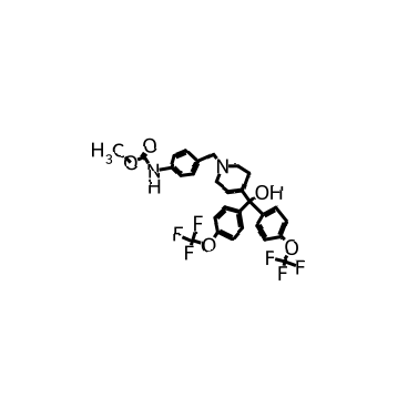 COC(=O)Nc1ccc(CN2CCC(C(O)(c3ccc(OC(F)(F)F)cc3)c3ccc(OC(F)(F)F)cc3)CC2)cc1